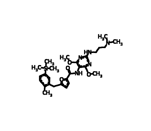 COc1nc(NCCCN(C)C)nc(OC)c1NC(=O)c1ccc(Cc2cc([Si](C)(C)C)ccc2C)o1